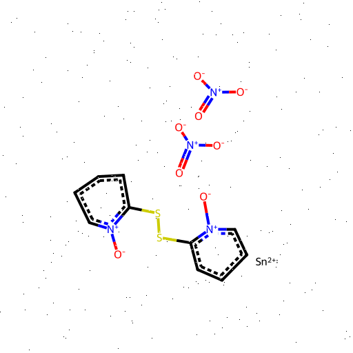 O=[N+]([O-])[O-].O=[N+]([O-])[O-].[O-][n+]1ccccc1SSc1cccc[n+]1[O-].[Sn+2]